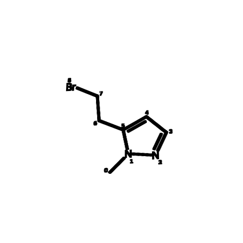 Cn1nccc1CCBr